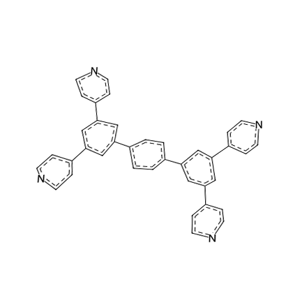 c1cc(-c2cc(-c3ccncc3)cc(-c3ccc(-c4cc(-c5ccncc5)cc(-c5ccncc5)c4)cc3)c2)ccn1